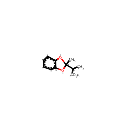 CC(C(=O)O)C1(C)Oc2ccccc2O1